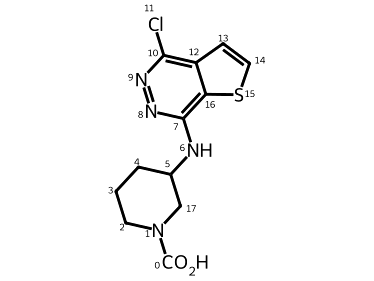 O=C(O)N1CCCC(Nc2nnc(Cl)c3ccsc23)C1